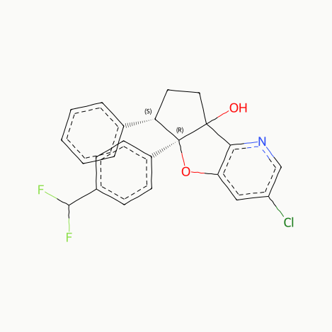 OC12CC[C@@H](c3ccccc3)[C@]1(c1ccc(C(F)F)cc1)Oc1cc(Cl)cnc12